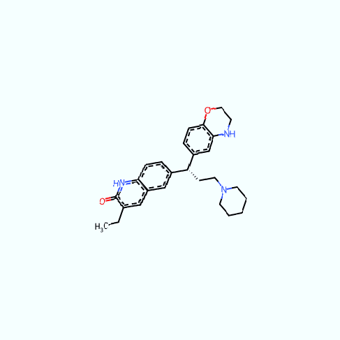 CCc1cc2cc([C@@H](CCN3CCCCC3)c3ccc4c(c3)NCCO4)ccc2[nH]c1=O